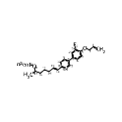 C=CCOc1ccc(-c2ccc(C=CCCCC(C)OCCCCC)nc2)cc1F